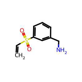 C=CS(=O)(=O)c1cccc(CN)c1